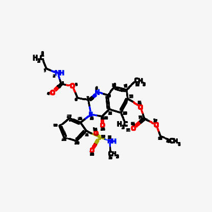 CCNC(=O)OCc1nc2cc(C)c(OC(=O)OCC)c(C)c2c(=O)n1-c1ccccc1S(=O)(=O)NC